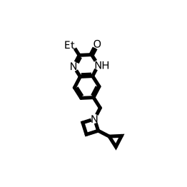 CCc1nc2ccc(CN3CCC3C3CC3)cc2[nH]c1=O